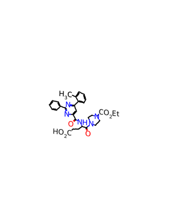 CCOC(=O)N1CCN(C(=O)C(CCC(=O)O)NC(=O)c2cc(-c3ccccc3C)nc(-c3ccccc3)n2)CC1